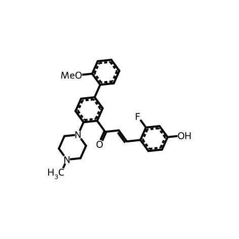 COc1ccccc1-c1ccc(N2CCN(C)CC2)c(C(=O)/C=C/c2ccc(O)cc2F)c1